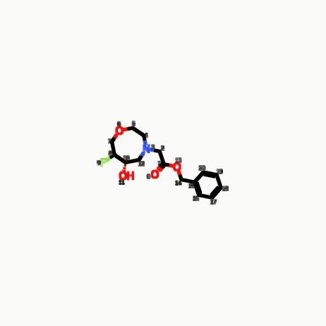 O=C(CN1CCOC[C@H](F)[C@@H](O)C1)OCc1ccccc1